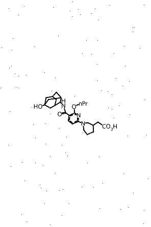 CCCOc1nc(N2CCCC(CC(=O)O)C2)ccc1C(=O)NC1C2CC3CC1CC(O)(C3)C2